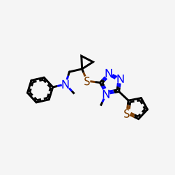 CN(CC1(Sc2nnc(-c3cccs3)n2C)CC1)c1ccccc1